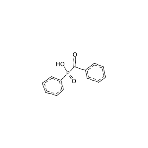 O=C(c1ccccc1)P(=O)(O)c1ccccc1